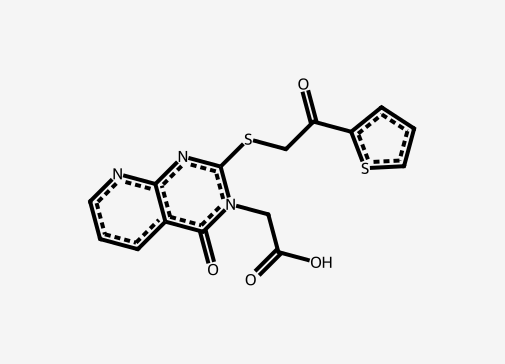 O=C(O)Cn1c(SCC(=O)c2cccs2)nc2ncccc2c1=O